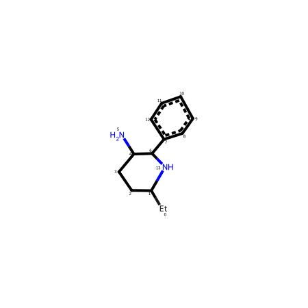 CCC1CCC(N)C(c2ccccc2)N1